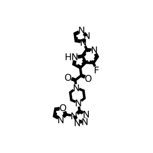 O=C(C(=O)N1CCN(c2nnnn2-c2ncco2)CC1)c1c[nH]c2c(-n3ccnn3)ncc(F)c12